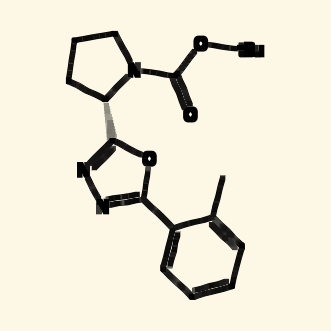 Cc1ccccc1-c1nnc([C@@H]2CCCN2C(=O)OC(C)(C)C)o1